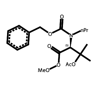 CCCN(C(=O)OCc1ccccc1)[C@H](C(=O)OOC)C(C)(C)OC(C)=O